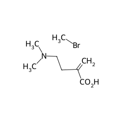 C=C(CCN(C)C)C(=O)O.CBr